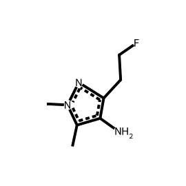 Cc1c(N)c(CCF)nn1C